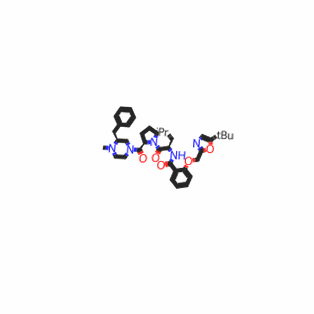 CC(C)C[C@@H](NC(=O)c1ccccc1OCc1ncc(C(C)(C)C)o1)C(=O)N1CCC[C@@H]1C(=O)N1CCN(C)[C@@H](Cc2ccccc2)C1